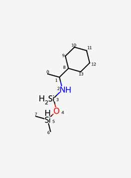 CC(N[SiH2]O[SiH](C)C)C1CCCCC1